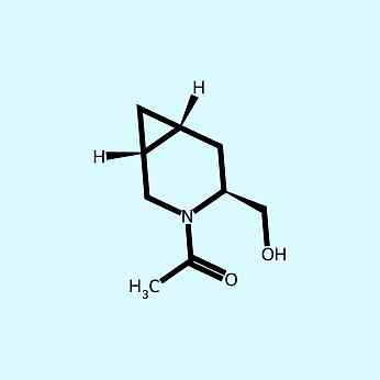 CC(=O)N1C[C@@H]2C[C@@H]2C[C@H]1CO